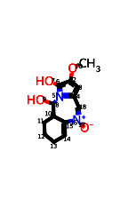 COc1cc2n(c1O)C(O)C1CCCC=C1[N+]([O-])=C2